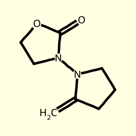 C=C1CCCN1N1CCOC1=O